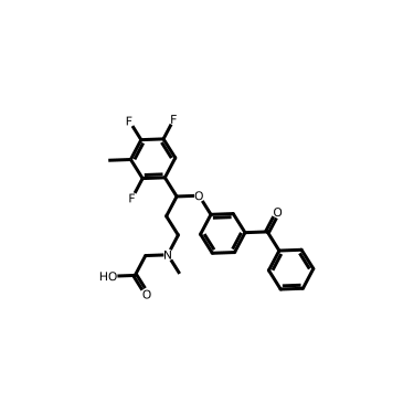 Cc1c(F)c(F)cc(C(CCN(C)CC(=O)O)Oc2cccc(C(=O)c3ccccc3)c2)c1F